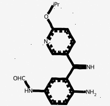 CC(C)Oc1ccc(C(=N)c2cc(NC=O)ccc2N)cn1